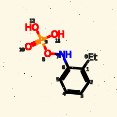 CCc1ccccc1NOP(=O)(O)O